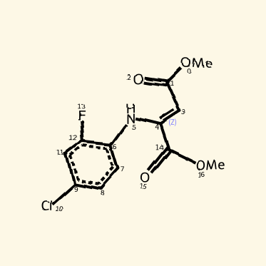 COC(=O)/C=C(\Nc1ccc(Cl)cc1F)C(=O)OC